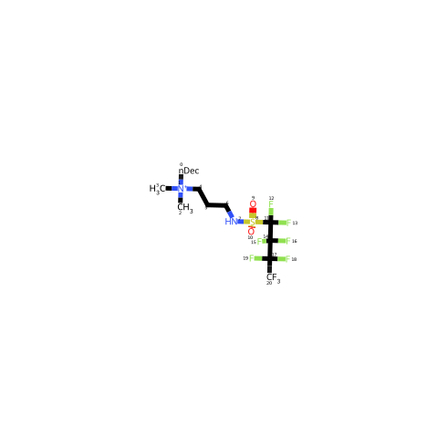 CCCCCCCCCC[N+](C)(C)CCCNS(=O)(=O)C(F)(F)C(F)(F)C(F)(F)C(F)(F)F